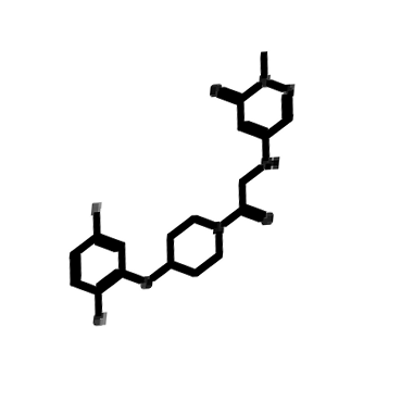 Cn1ncc(NCC(=O)N2CCC(Oc3cc(F)ccc3Cl)CC2)cc1=O